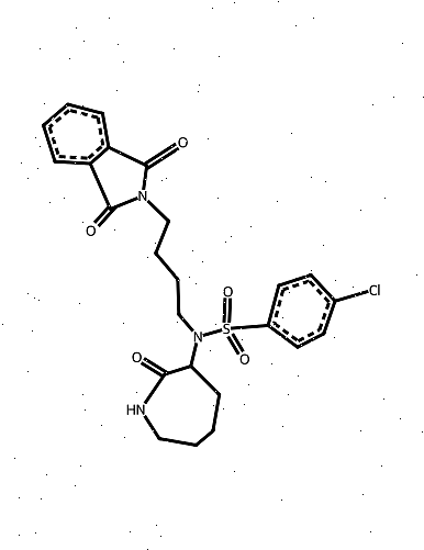 O=C1NCCCCC1N(CCCCN1C(=O)c2ccccc2C1=O)S(=O)(=O)c1ccc(Cl)cc1